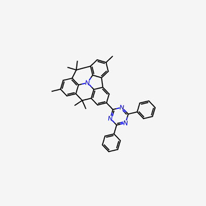 Cc1cc2c3c(c1)C(C)(C)c1cc(-c4nc(-c5ccccc5)nc(-c5ccccc5)n4)cc4c5cc(C)cc(c5n-3c14)C2(C)C